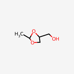 CC1OCC(CO)O1